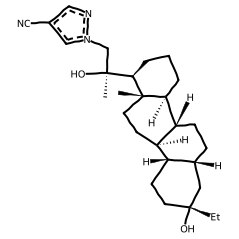 CC[C@@]1(O)CC[C@H]2[C@H](CC[C@@H]3[C@@H]2CC[C@@]2(C)[C@H]3CCC[C@@H]2[C@@](C)(O)Cn2cc(C#N)cn2)C1